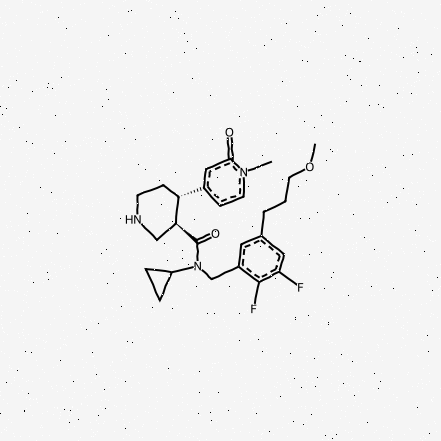 COCCCc1cc(F)c(F)c(CN(C(=O)[C@H]2CNCC[C@@H]2c2ccn(C)c(=O)c2)C2CC2)c1